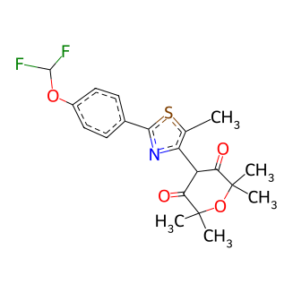 Cc1sc(-c2ccc(OC(F)F)cc2)nc1C1C(=O)C(C)(C)OC(C)(C)C1=O